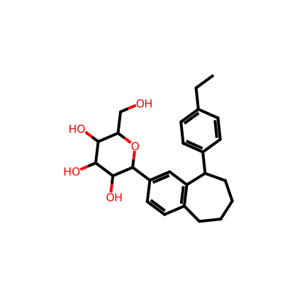 CCc1ccc(C2CCCCc3ccc(C4OC(CO)C(O)C(O)C4O)cc32)cc1